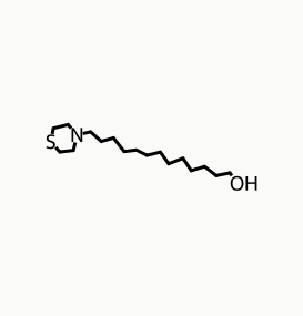 OCCCCCCCCCCCCCN1CCSCC1